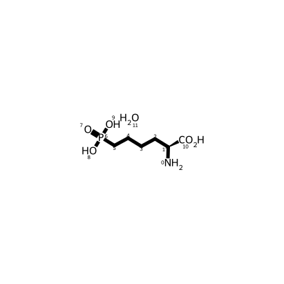 N[C@@H](CCCCP(=O)(O)O)C(=O)O.O